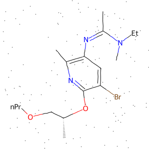 CCCOC[C@@H](C)Oc1nc(C)c(N=C(C)N(C)CC)cc1Br